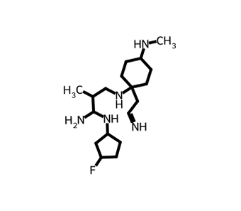 CNC1CCC(CC=N)(NCC(C)C(N)NC2CCC(F)C2)CC1